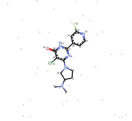 CN(C)C1CCN(c2nc(-c3ccnc(F)c3)[nH]c(=O)c2Cl)C1